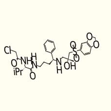 CC(C)[C@H](NC(=O)CCl)C(=O)NCCC[C@H](NC[C@@](C)(O)CS(=O)(=O)c1ccc2c(c1)OCO2)c1ccccc1